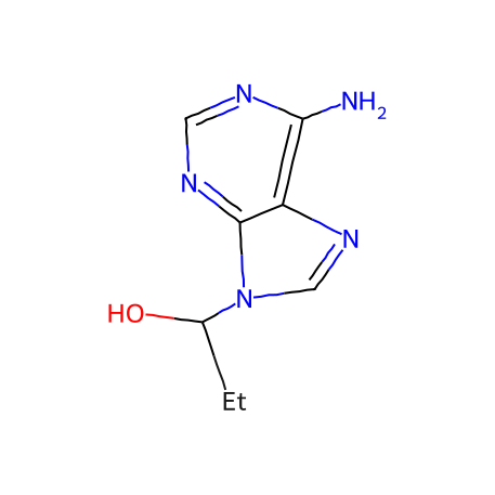 CCC(O)n1cnc2c(N)ncnc21